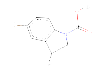 CC(C)C1CN(C(=O)OC(C)(C)C)c2ccc(Br)cc21